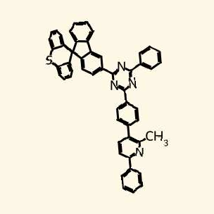 Cc1nc(-c2ccccc2)ccc1-c1ccc(-c2nc(-c3ccccc3)nc(-c3ccc4c(c3)-c3ccccc3C43c4ccccc4Sc4ccccc43)n2)cc1